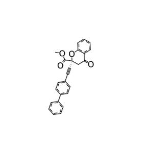 COC(=O)[C@]1(C#Cc2ccc(-c3ccccc3)cc2)CC(=O)c2ccccc2O1